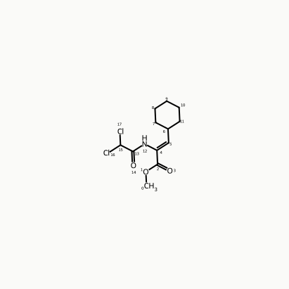 COC(=O)C(=CC1CCCCC1)NC(=O)C(Cl)Cl